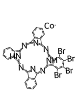 Brc1c(Br)c(Br)c2c3nc4nc(nc5[nH]c(nc6nc(nc([nH]3)c2c1Br)-c1ccccc1-6)c1ccccc51)-c1ccccc1-4.[Co]